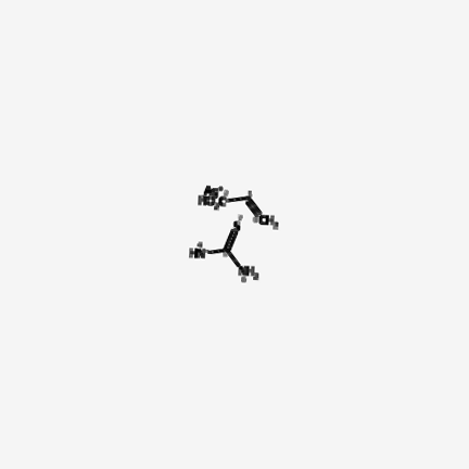 C=CC(=O)O.[Ag+].[NH-]C(N)=S